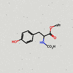 CCCOC(=O)C(Cc1ccc(O)cc1)NC(=O)O